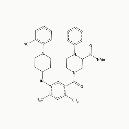 CNC(=O)C1CN(C(=O)c2cc(NC3CCN(c4ccccc4C#N)CC3)c(C)cc2C)CCN1c1ccccc1